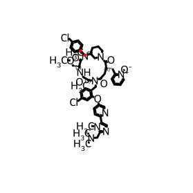 COC[C@@H]1NC(=O)[C@H](C)N(Cc2ccc(Cl)cc2Oc2ccc(-c3cnc(CN(C)C)n3C)nc2)C(=O)C[C@@H](Cc2cccc[n+]2[O-])C(=O)N2CCC[C@@](Cc3ccc(Cl)cc3)(C2)N(C)C1=O